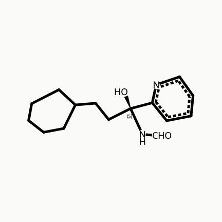 O=CN[C@](O)(CCC1CCCCC1)c1ccccn1